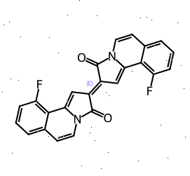 O=C1/C(=C2\C=C3c4c(F)cccc4C=CN3C2=O)C=C2c3c(F)cccc3C=CN12